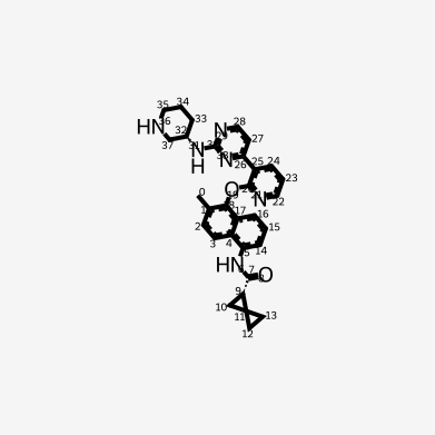 Cc1ccc2c(NC(=O)[C@H]3CC34CC4)cccc2c1Oc1ncccc1-c1ccnc(N[C@H]2CCCNC2)n1